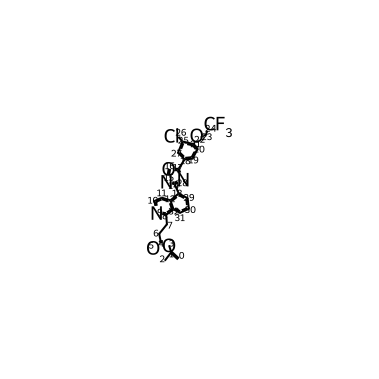 C=C(C)OC(=O)CCc1nccc2c(-c3noc(-c4ccc(OCC(F)(F)F)c(Cl)c4)n3)cccc12